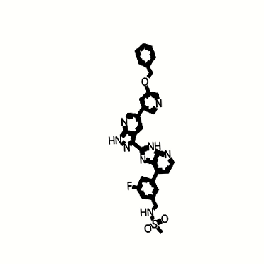 CS(=O)(=O)NCc1cc(F)cc(-c2ccnc3[nH]c(-c4n[nH]c5ncc(-c6cncc(OCc7ccccc7)c6)cc45)nc23)c1